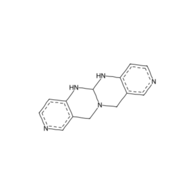 c1cc2c(cn1)CN1Cc3cnccc3NC1N2